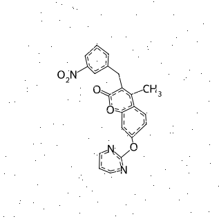 Cc1c(Cc2cccc([N+](=O)[O-])c2)c(=O)oc2cc(Oc3ncccn3)ccc12